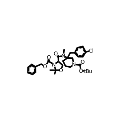 CN(C(=O)C1COC(C)(C)N1C(=O)OCc1ccccc1)C1(Cc2ccc(Cl)cc2)CCCN(C(=O)OC(C)(C)C)C1